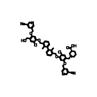 Cc1c(COc2cc(OCc3cncc(C#N)c3)c(CO)cc2Cl)cccc1-c1cccc(COc2cc(OCc3cncc(C#N)c3)c(CN3CCC[C@H](C(=O)O)C3)cc2Cl)c1C